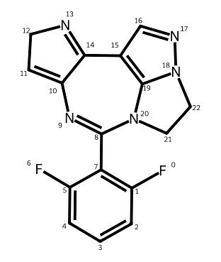 Fc1cccc(F)c1C1=NC2=CCN=C2c2cnn3c2N1CC3